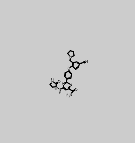 N#Cc1ccc(Oc2ccc(-c3nc(N[C@H]4CCNC4=O)cc(C(N)=O)n3)cc2)c(CN2CCCC2)c1